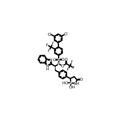 O=C1CC(c2ccc(C[C@@H](c3nc4ccccc4[nH]3)N(OC(=O)C(F)(F)F)S(=O)(=O)c3ccc(-c4cc(Cl)cc(Cl)c4)c(C(F)(F)F)c3)cc2)S(O)(O)N1